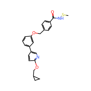 CSNC(=O)c1ccc(COc2cccc(-c3ccc(OCC4CC4)nc3)c2)cc1